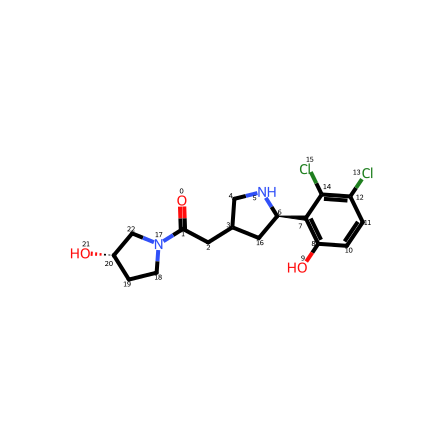 O=C(CC1CN[C@@H](c2c(O)ccc(Cl)c2Cl)C1)N1CC[C@H](O)C1